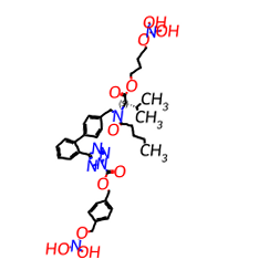 CCCCC(=O)N(Cc1ccc(-c2ccccc2-c2nnn(C(=O)OCc3ccc(CON(O)O)cc3)n2)cc1)[C@H](C(=O)OCCCCON(O)O)C(C)C